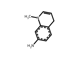 CN1C=CCc2ccc(N)cc21